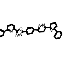 c1ccc(-c2cccc(C3=NN=C(c4ccc(-c5nnc(-c6cccc(-c7ccccc7)n6)o5)cc4)CC3)n2)cc1